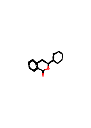 O=C1OC(C2CCCCC2)Cc2ccccc21